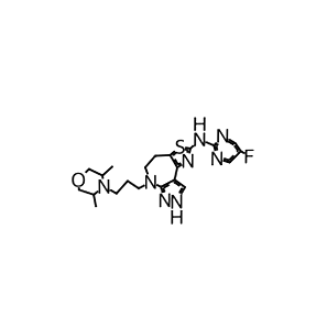 CC1COCC(C)N1CCCN1CCc2sc(Nc3ncc(F)cn3)nc2-c2c[nH]nc21